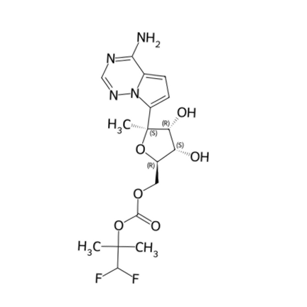 CC(C)(OC(=O)OC[C@H]1O[C@@](C)(c2ccc3c(N)ncnn23)[C@H](O)[C@@H]1O)C(F)F